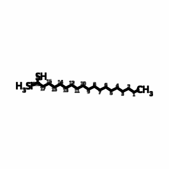 CCCCCCCCCCCCCCCCCCC([SiH3])S